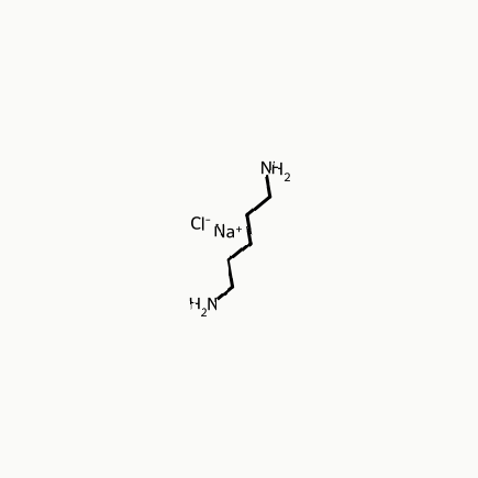 NCCCCCN.[Cl-].[Na+]